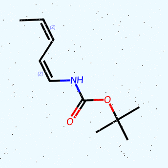 C/C=C\C=C/NC(=O)OC(C)(C)C